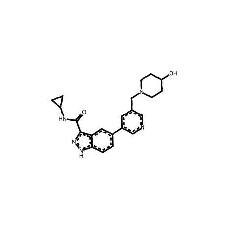 O=C(NC1CC1)c1n[nH]c2ccc(-c3cncc(CN4CCC(O)CC4)c3)cc12